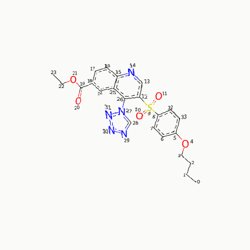 CCCCOc1ccc(S(=O)(=O)c2cnc3ccc(C(=O)OCC)cc3c2-n2cnnn2)cc1